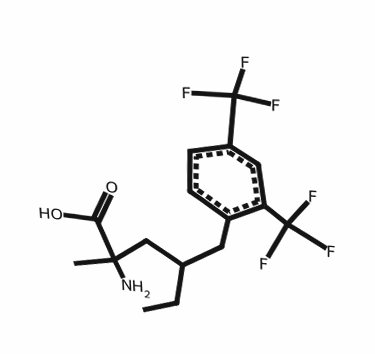 CCC(Cc1ccc(C(F)(F)F)cc1C(F)(F)F)CC(C)(N)C(=O)O